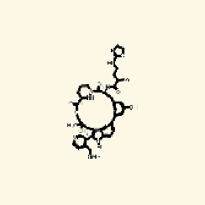 CCn1c(-c2cnccc2COC)c2c3cc(ccc31)-c1cc(O)cc(c1)C[C@H](NC(=O)C(CCNC1=NCCO1)C(C)C)C(=O)N1CCC[C@H](N1)C(=O)OCC(C)(C)C2